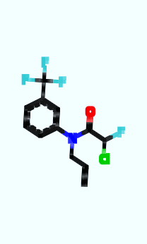 C=CCN(C(=O)C(F)Cl)c1cccc(C(F)(F)F)c1